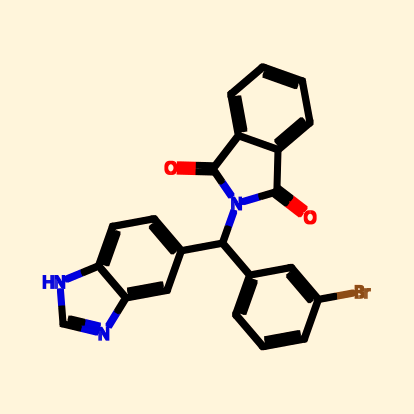 O=C1c2ccccc2C(=O)N1C(c1cccc(Br)c1)c1ccc2[nH]cnc2c1